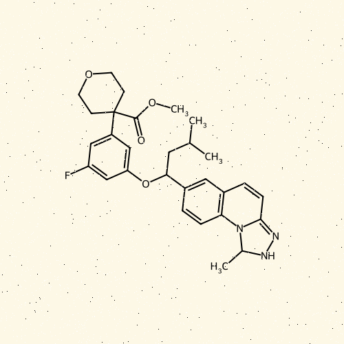 COC(=O)C1(c2cc(F)cc(OC(CC(C)C)c3ccc4c(c3)C=CC3=NNC(C)N34)c2)CCOCC1